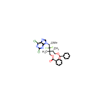 CO[C@@H](n1cnc2c(Cl)nc(Cl)nc21)C(F)(F)C(C)(COC(=O)c1ccccc1)[C@H](C)COC(=O)c1ccccc1